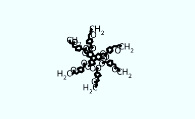 C=CC(=O)CC1=CCC(C(=O)Oc2cc3c4cc(OC(=O)c5ccc(CC(=O)C=C)cc5)c(OC(=O)c5ccc(CC(=O)C=C)cc5)cc4c4cc(OC(=O)c5ccc(CC(=O)C=C)cc5)c(OC(=O)c5ccc(CC(=O)C=C)cc5)cc4c3cc2OC(=O)c2ccc(CC(=O)C=C)cc2)C=C1